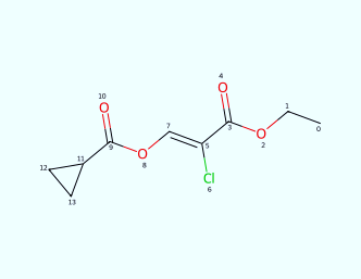 CCOC(=O)C(Cl)=COC(=O)C1CC1